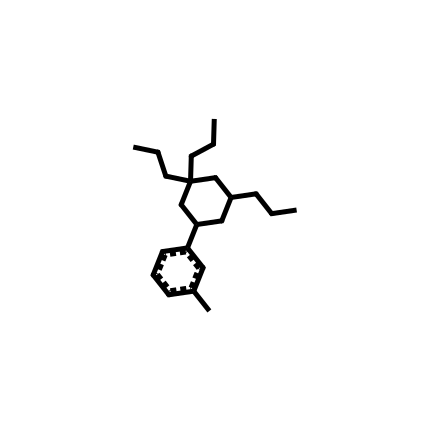 CCCC1CC(c2cccc(C)c2)CC(CCC)(CCC)C1